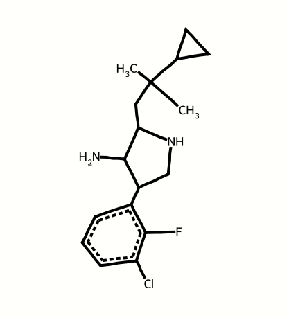 CC(C)(CC1NCC(c2cccc(Cl)c2F)C1N)C1CC1